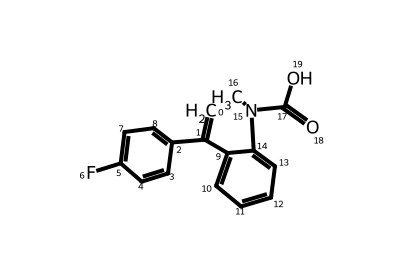 C=C(c1ccc(F)cc1)c1ccccc1N(C)C(=O)O